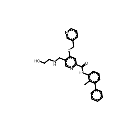 Cc1c(NC(=O)c2cc(OCc3cccnc3)c(CNCCO)cn2)cccc1-c1ccccc1